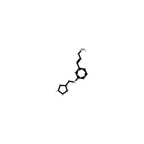 NC/C=C/c1cccc(SCC2CCCC2)c1